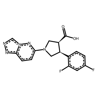 O=C(O)[C@@H]1CN(c2ccc3nncn3n2)C[C@@H]1c1ccc(F)cc1F